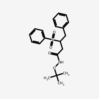 CC(C)(C)ONC(=O)CC(Cc1ccccc1)S(=O)(=O)c1ccccc1